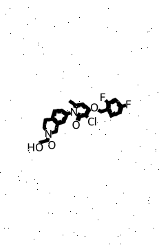 Cc1cc(OCc2ccc(F)cc2F)c(Cl)c(=O)n1-c1ccc2c(c1)CN(C(=O)CO)CC2